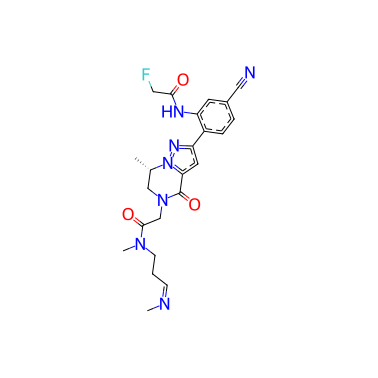 C/N=C\CCN(C)C(=O)CN1C[C@H](C)n2nc(-c3ccc(C#N)cc3NC(=O)CF)cc2C1=O